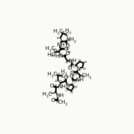 CC(=O)N[C@@H](C)C(=O)N[C@@H](CC(C)C)C(=O)N1CCC[C@H]1C(=O)N[C@@H](C)C(=O)N1CCC[C@H]1C(=O)NCC(=O)N[C@H](C(=O)N[C@@H](CC(C)C)C(N)=O)[C@@H](C)O